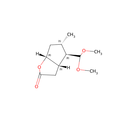 COC(OC)[C@H]1[C@@H]2CC(=O)O[C@@H]2C[C@@H]1C